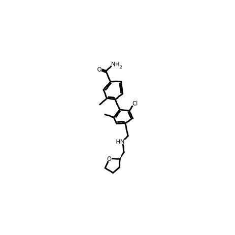 Cc1cc(C(N)=O)ccc1-c1c(C)cc(CNC[C@H]2CCCO2)cc1Cl